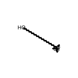 CCO[Si](CCCCCCCCCCCCCCCCCCCCCCCCCCO)(OCC)OCC